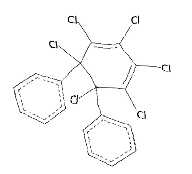 ClC1=C(Cl)C(Cl)(c2ccccc2)C(Cl)(c2ccccc2)C(Cl)=C1Cl